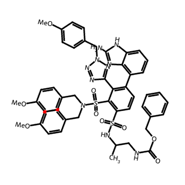 COc1ccc(CN(Cc2ccc(OC)cc2)S(=O)(=O)c2c(S(=O)(=O)NC(C)CNC(=O)OCc3ccccc3)ccc(-c3cccc4[nH]c(N)nc34)c2-c2nnn(Cc3ccc(OC)cc3)n2)cc1